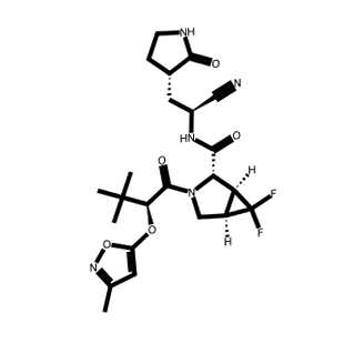 Cc1cc(O[C@H](C(=O)N2C[C@H]3[C@@H]([C@H]2C(=O)N[C@H](C#N)C[C@@H]2CCNC2=O)C3(F)F)C(C)(C)C)on1